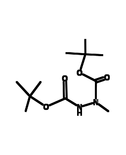 CN(NC(=O)OC(C)(C)C)C(=O)OC(C)(C)C